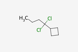 CCCC(Cl)(Cl)C1CCC1